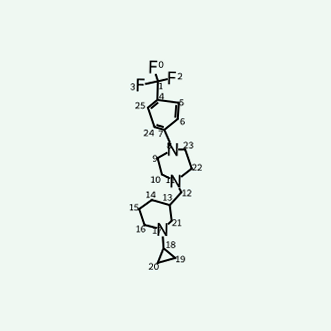 FC(F)(F)c1ccc(N2CCN(CC3CCCN(C4CC4)C3)CC2)cc1